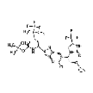 CC(C)(C)OC(=O)N[C@@H](CCC(C)(C)C(F)(F)F)c1cn2nc(Cl)c([C@@H](COC3CC3)N3C[C@@H](C(F)(F)F)NC3=O)cc2n1